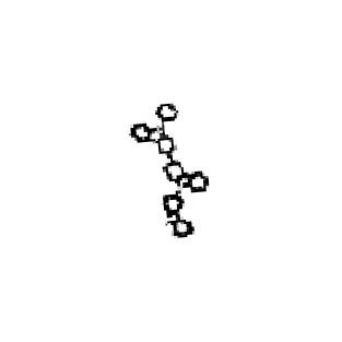 C1=CC(C2=CC=C3C(C2)c2ccccc2N3C2=CCCCC2)Cc2c1n(-c1ccc3sc4ccccc4c3c1)c1ccccc21